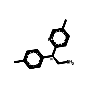 Cc1ccc([C@H](CN)c2ccc(C)cn2)cc1